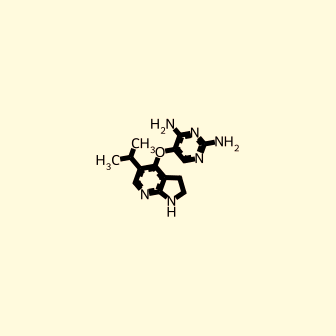 CC(C)c1cnc2c(c1Oc1cnc(N)nc1N)CCN2